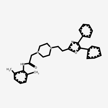 Cc1cccc(C)c1NC(=O)CN1CCN(CCc2nc(-c3ccccc3)c(-c3ccccc3)o2)CC1